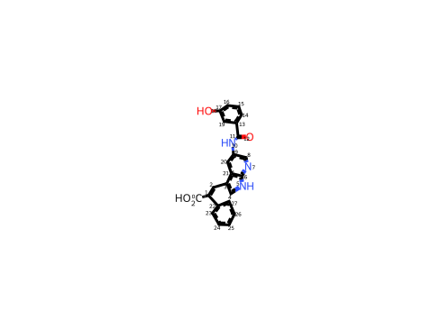 O=C(O)/C(=C/c1c[nH]c2ncc(NC(=O)c3cccc(O)c3)cc12)c1ccccc1